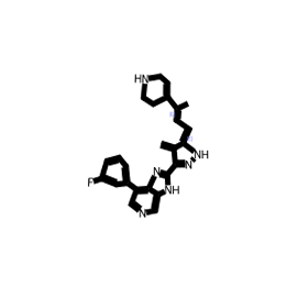 C=c1c(-c2nc3c(-c4cccc(F)c4)cncc3[nH]2)n[nH]/c1=C/C=C(\C)C1=CCNCC1